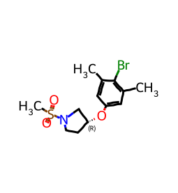 Cc1cc(O[C@@H]2CCN(S(C)(=O)=O)C2)cc(C)c1Br